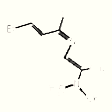 CC/C=C/C(Cl)=N\C=C(/C)N(C)C